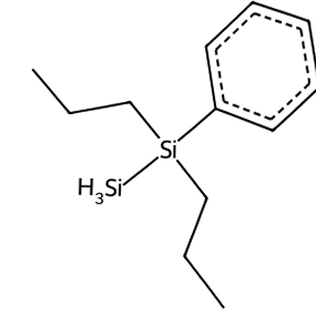 CCC[Si]([SiH3])(CCC)c1ccccc1